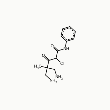 CC(CN)(CN)C(=O)C(Cl)C(=O)Nc1ccccc1